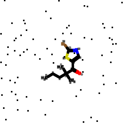 CCCC(C)(C)C(=O)c1cnc(Br)s1